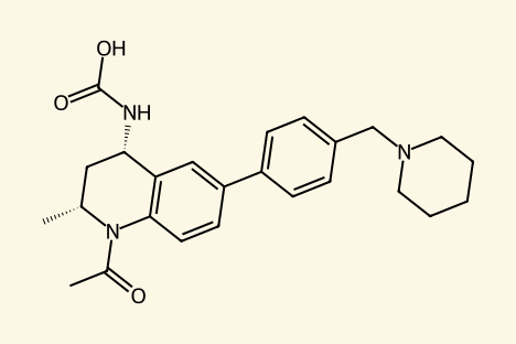 CC(=O)N1c2ccc(-c3ccc(CN4CCCCC4)cc3)cc2[C@@H](NC(=O)O)C[C@H]1C